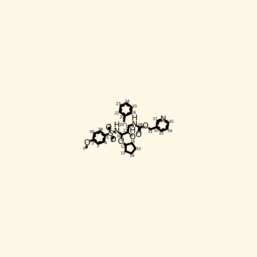 COc1ccc(S(=O)(=O)NC(OC2CCCC2)[C@H](O)[C@H](Cc2ccccc2)NC(=O)OCc2cccnc2)cc1